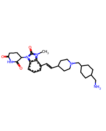 Cn1c(=O)n(C2CCC(=O)NC2=O)c2cccc(C=CC3CCN(CC4CCC(CN)CC4)CC3)c21